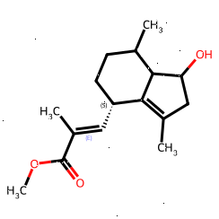 COC(=O)/C(C)=C/[C@@H]1CCC(C)C2C1=C(C)CC2O